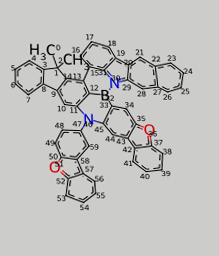 CC1(C)c2ccccc2-c2cc3c4c(c21)-c1cccc2c5cc6ccccc6cc5n(c12)B4c1cc2oc4ccccc4c2cc1N3c1ccc2oc3ccccc3c2c1